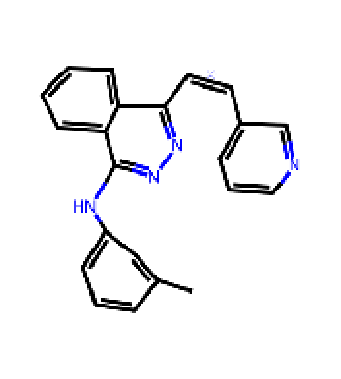 Cc1cccc(Nc2nnc(/C=C\c3cccnc3)c3ccccc23)c1